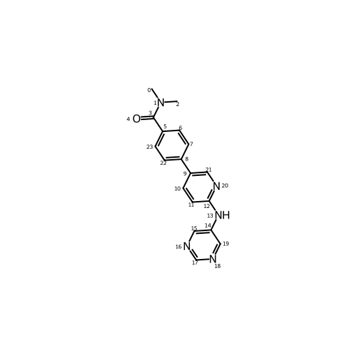 CN(C)C(=O)c1ccc(-c2ccc(Nc3cncnc3)nc2)cc1